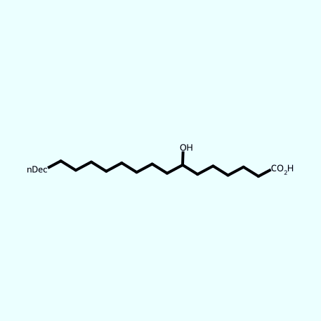 CCCCCCCCCCCCCCCCCCC(O)CCCCCC(=O)O